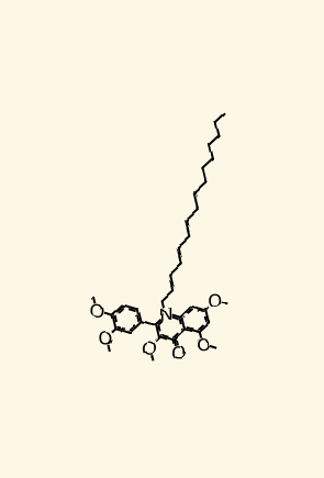 CCCCCCCCCCCCCCCCn1c(-c2ccc(OC)c(OC)c2)c(OC)c(=O)c2c(OC)cc(OC)cc21